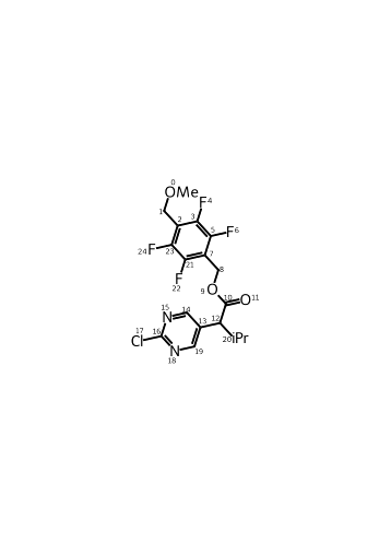 COCc1c(F)c(F)c(COC(=O)C(c2cnc(Cl)nc2)C(C)C)c(F)c1F